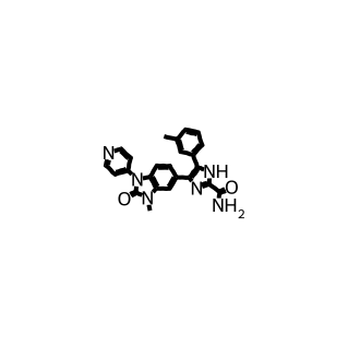 Cc1cccc(-c2[nH]c(C(N)=O)nc2-c2ccc3c(c2)n(C)c(=O)n3-c2ccncc2)c1